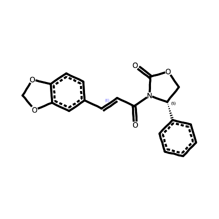 O=C(/C=C/c1ccc2c(c1)OCO2)N1C(=O)OC[C@@H]1c1ccccc1